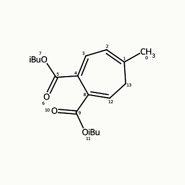 CC1=CC=C(C(=O)OCC(C)C)C(C(=O)OCC(C)C)=CC1